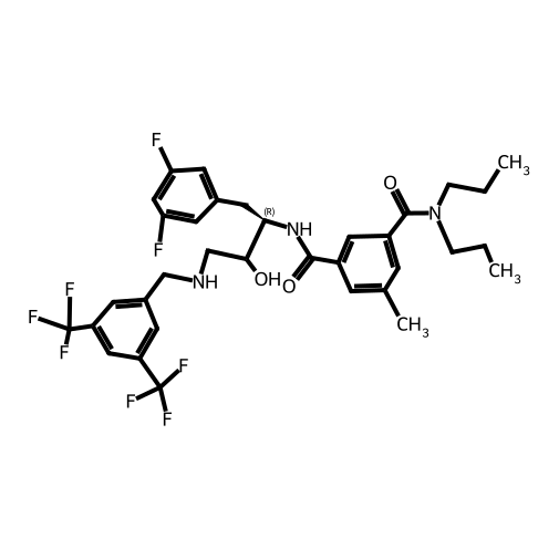 CCCN(CCC)C(=O)c1cc(C)cc(C(=O)N[C@H](Cc2cc(F)cc(F)c2)C(O)CNCc2cc(C(F)(F)F)cc(C(F)(F)F)c2)c1